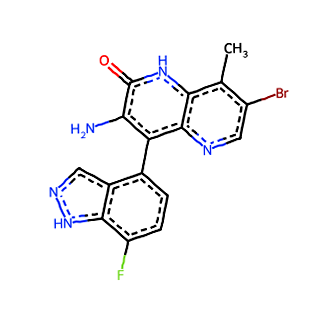 Cc1c(Br)cnc2c(-c3ccc(F)c4[nH]ncc34)c(N)c(=O)[nH]c12